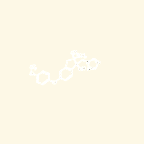 CC1(C)Cc2cc(Oc3ccc(OC(F)(F)F)cc3)ccc2C1(O)Cn1cncn1